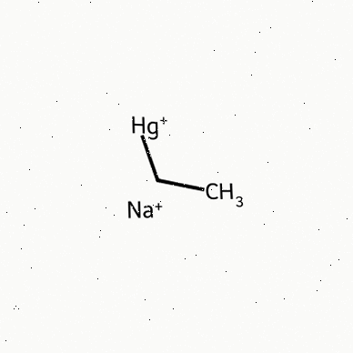 C[CH2][Hg+].[Na+]